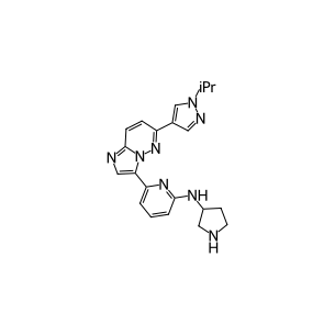 CC(C)n1cc(-c2ccc3ncc(-c4cccc(NC5CCNC5)n4)n3n2)cn1